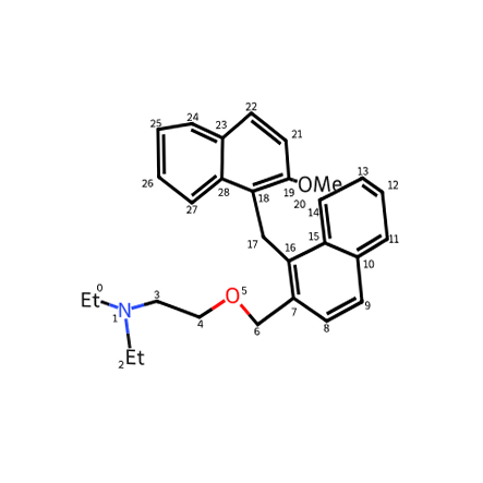 CCN(CC)CCOCc1ccc2ccccc2c1Cc1c(OC)ccc2ccccc12